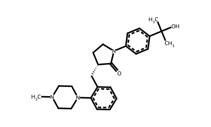 CN1CCN(c2ccccc2C[C@@H]2CCN(c3ccc(C(C)(C)O)cc3)C2=O)CC1